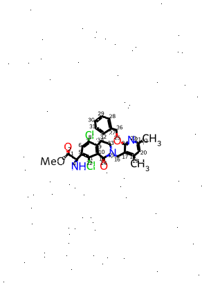 COC(=O)C(=N)c1cc(Cl)c2c(c1Cl)C(=O)N(Cc1c(C)cc(C)nc1OCc1ccccc1)CC2